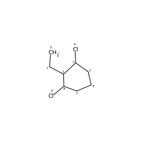 [CH2]CC1C(Cl)CCCC1Cl